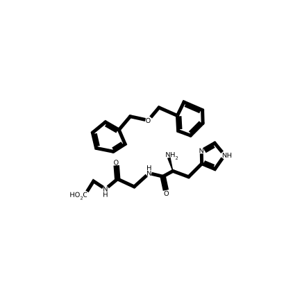 N[C@@H](Cc1c[nH]cn1)C(=O)NCC(=O)NCC(=O)O.c1ccc(COCc2ccccc2)cc1